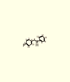 Fc1ccc(CBc2ccccc2)cc1